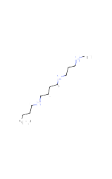 CNCCCNCCCCNCCCNC(C)C